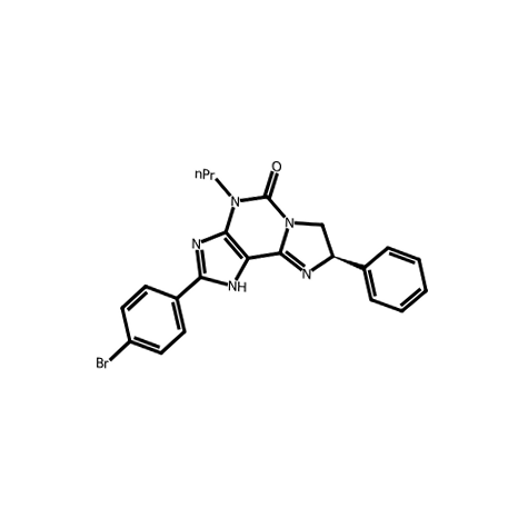 CCCN1C(=O)N2C[C@@H](c3ccccc3)N=C2c2[nH]c(-c3ccc(Br)cc3)nc21